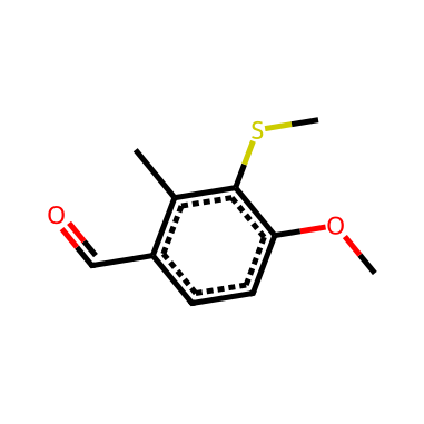 COc1ccc(C=O)c(C)c1SC